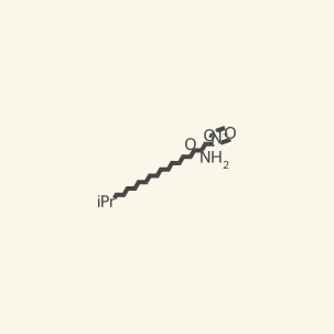 CC(C)CCCCCCCCCCCCCCC(=O)C(N)CC[N+]1([O-])CCOCC1